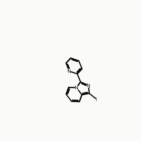 Ic1nc(-c2ccccn2)n2ccccc12